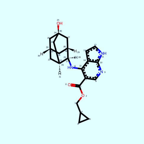 O=C(OCC1CC1)c1cnc2[nH]ccc2c1N[C@@H]1[C@@H]2C[C@@H]3C[C@H]1C[C@](O)(C3)C2